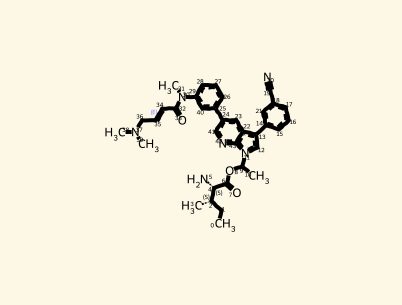 CC[C@H](C)[C@H](N)C(=O)OC(C)n1cc(-c2cccc(C#N)c2)c2cc(-c3cccc(N(C)C(=O)/C=C/CN(C)C)c3)cnc21